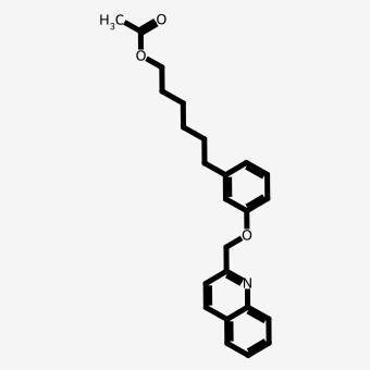 CC(=O)OCCCCCCc1cccc(OCc2ccc3ccccc3n2)c1